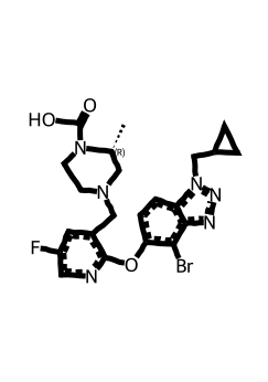 C[C@@H]1CN(Cc2cc(F)cnc2Oc2ccc3c(nnn3CC3CC3)c2Br)CCN1C(=O)O